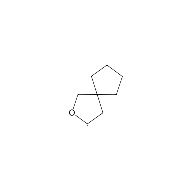 [CH]1CC2(CCCC2)CO1